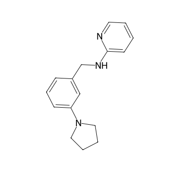 c1ccc(NCc2cccc(N3CCCC3)c2)nc1